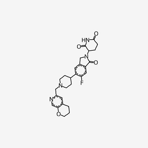 O=C1CCC(N2Cc3cc(C4CCN(Cc5cc6c(cn5)OCCC6)CC4)c(F)cc3C2=O)C(=O)N1